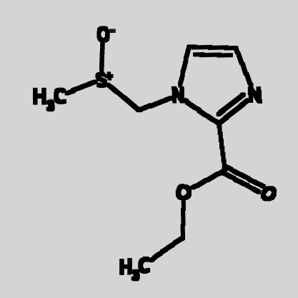 CCOC(=O)c1nccn1C[S+](C)[O-]